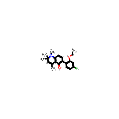 CCOc1cc(F)ccc1-c1ccc2c(c1O)C(C)=CC(C)(C)N2C